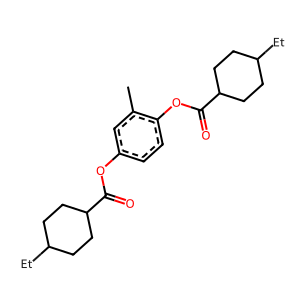 CCC1CCC(C(=O)Oc2ccc(OC(=O)C3CCC(CC)CC3)c(C)c2)CC1